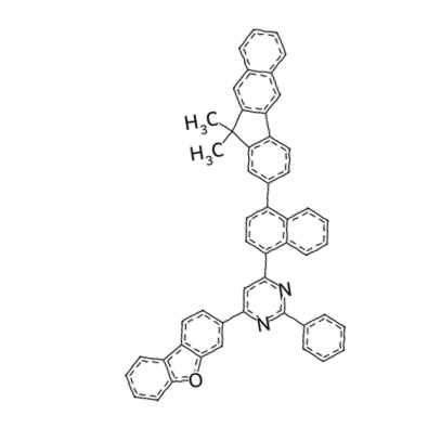 CC1(C)c2cc(-c3ccc(-c4cc(-c5ccc6c(c5)oc5ccccc56)nc(-c5ccccc5)n4)c4ccccc34)ccc2-c2cc3ccccc3cc21